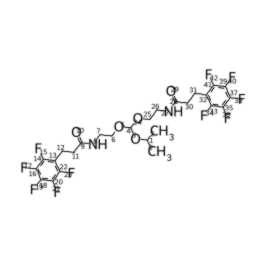 CC(C)OC(OCCNC(=O)CCc1c(F)c(F)c(F)c(F)c1F)OCCNC(=O)CCc1c(F)c(F)c(F)c(F)c1F